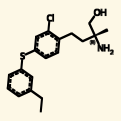 CCc1cccc(Sc2ccc(CC[C@@](C)(N)CO)c(Cl)c2)c1